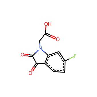 O=C(O)CN1C(=O)C(=O)c2ccc(F)cc21